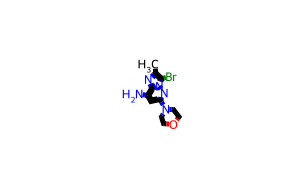 Cc1nc2c(N)cc(N3CCOCC3)nn2c1Br